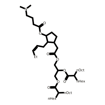 CC/C=C\CC1C(CC(=O)OCC(COC(=O)C(CCCCCC)CCCCCCCC)OC(=O)C(CCCCCC)CCCCCCCC)CCC1OC(=O)CCCN(C)C